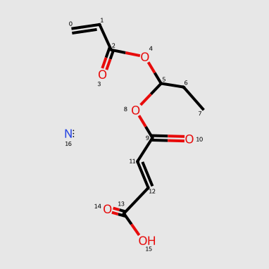 C=CC(=O)OC(CC)OC(=O)C=CC(=O)O.[N]